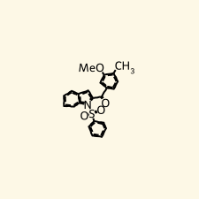 COc1cc(C(=O)c2cc3ccccc3n2S(=O)(=O)c2ccccc2)ccc1C